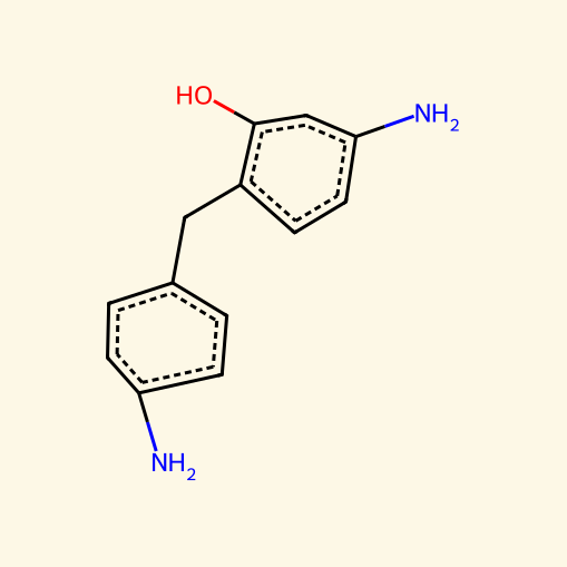 Nc1ccc(Cc2ccc(N)cc2O)cc1